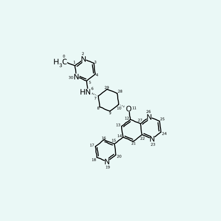 Cc1nccc(N[C@H]2CC[C@@H](Oc3cc(-c4cccnc4)cc4nccnc34)CC2)n1